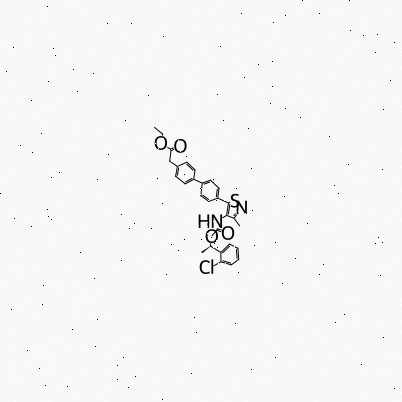 CCOC(=O)Cc1ccc(-c2ccc(-c3snc(C)c3NC(=O)O[C@H](C)c3ccccc3Cl)cc2)cc1